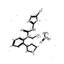 N[SH](=O)=O.O=C(Nc1ncc(Cl)s1)N(CC(F)(F)F)c1ccccc1C1CCOC1